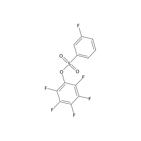 O=S(=O)(Oc1c(F)c(F)c(F)c(F)c1F)c1cccc(F)c1